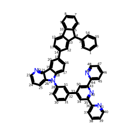 c1ccc(C2c3ccccc3-c3ccc(-c4ccc5c(c4)c4ncccc4n5-c4cccc(-c5cc(-c6ccccn6)nc(-c6ccccn6)c5)c4)cc32)cc1